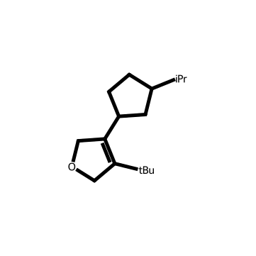 CC(C)C1CCC(C2=C(C(C)(C)C)COC2)C1